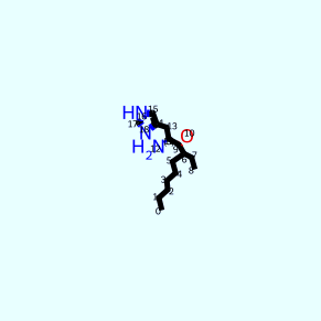 CCCCCCC(CC)C(=O)[C@@H](N)Cc1c[nH]cn1